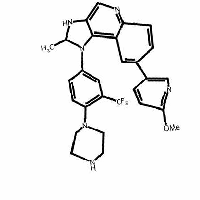 COc1ccc(-c2ccc3ncc4c(c3c2)N(c2ccc(N3CCNCC3)c(C(F)(F)F)c2)C(C)N4)cn1